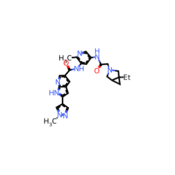 CCC12CC1CN(CC(=O)Nc1cnc(C)c(NC(=O)c3cnc4[nH]c(-c5cnn(C)c5)cc4c3)c1)C2